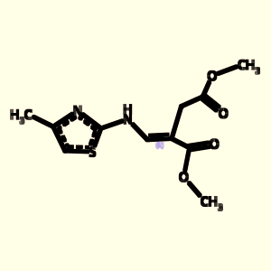 COC(=O)C/C(=C\Nc1nc(C)cs1)C(=O)OC